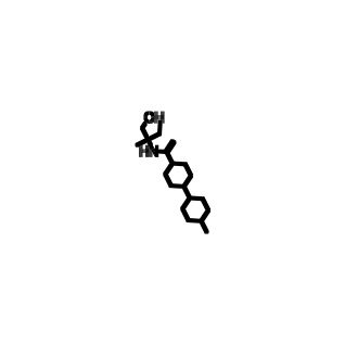 C=C(NC(C)(CC)CO)C1CCC(C2CCC(C)CC2)CC1